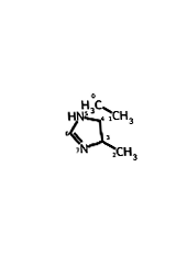 CC.CC1CNC=N1